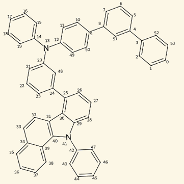 c1ccc(-c2cccc(-c3ccc(N(c4ccccc4)c4cccc(-c5cccc6c5c5ccc7ccccc7c5n6-c5ccccc5)c4)cc3)c2)cc1